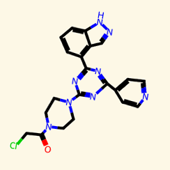 O=C(CCl)N1CCN(c2nc(-c3ccncc3)nc(-c3cccc4[nH]ncc34)n2)CC1